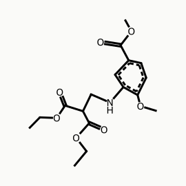 CCOC(=O)C(CNc1cc(C(=O)OC)ccc1OC)C(=O)OCC